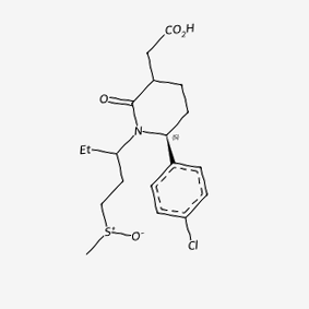 CCC(CC[S+](C)[O-])N1C(=O)C(CC(=O)O)CC[C@H]1c1ccc(Cl)cc1